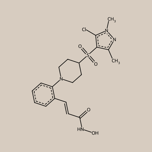 Cc1nn(C)c(Cl)c1S(=O)(=O)C1CCN(c2ccccc2/C=C/C(=O)NO)CC1